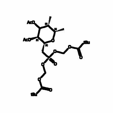 CC(=O)OC1[C@H](C)[C@H](C)O[C@H](CP(=O)(OCOC(=O)C(C)(C)C)OCOC(=O)C(C)(C)C)[C@H]1OC(C)=O